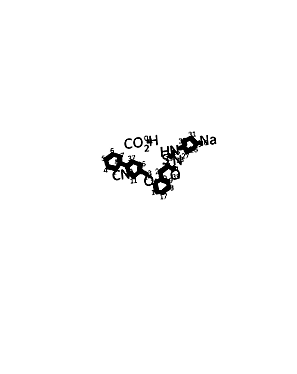 CC(=O)O.N#Cc1ccccc1-c1ccc(COc2ccccc2/C=C2/SC(Nc3cc[c]([Na])cc3)=NC2=O)cc1